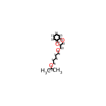 CC(C)OCCCCCOCC1COc2ccccc2O1